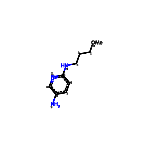 COCCCNc1ccc(N)cn1